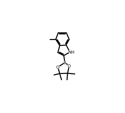 Cc1cccc2[nH]c(B3OC(C)(C)C(C)(C)O3)cc12